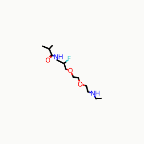 CCNCCOCCOCC(F)CNC(=O)C(C)C